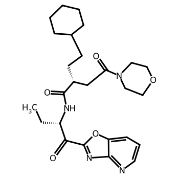 CC[C@H](NC(=O)[C@H](CCC1CCCCC1)CC(=O)N1CCOCC1)C(=O)c1nc2ncccc2o1